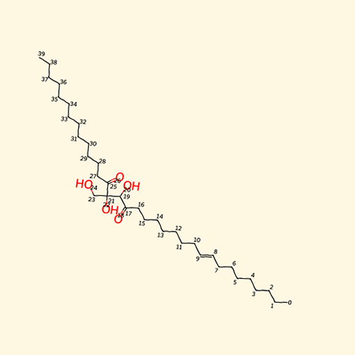 CCCCCCCCC=CCCCCCCCC(=O)C(O)C(O)(CO)C(=O)CCCCCCCCCCCCC